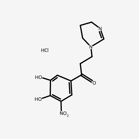 Cl.O=C(CCN1C=NCCC1)c1cc(O)c(O)c([N+](=O)[O-])c1